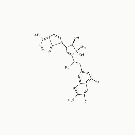 CC(Cc1cc(F)c2cc(Cl)c(N)nc2c1)C1=CC(n2ccc3c(N)ncnc32)[C@@H](O)C1(C)O